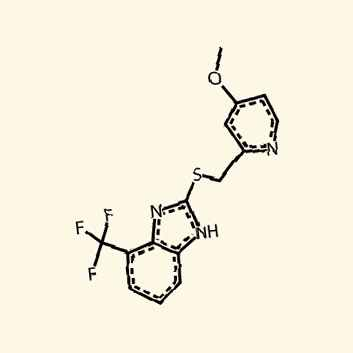 COc1ccnc(CSc2nc3c(C(F)(F)F)cccc3[nH]2)c1